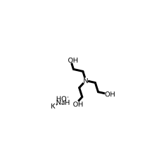 OCCN(CCO)CCO.[K+].[NaH].[OH-]